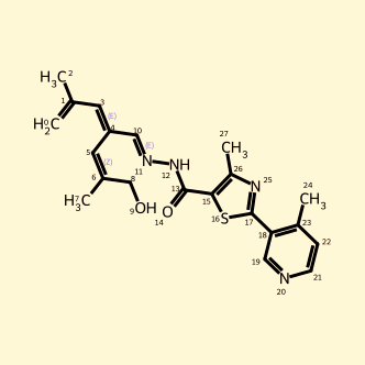 C=C(C)/C=C(\C=C(\C)CO)/C=N/NC(=O)c1sc(-c2cnccc2C)nc1C